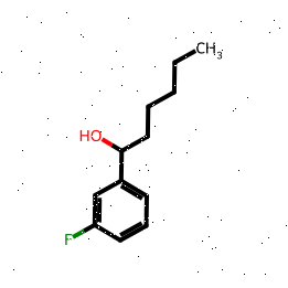 CCCCCC(O)c1cccc(F)c1